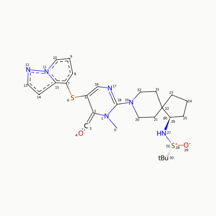 CN1C(=C=O)C(Sc2cccn3nccc23)=CN=C1N1CCC2(CCC[C@H]2N[S@+]([O-])C(C)(C)C)CC1